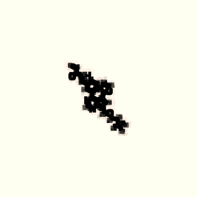 C=CC(=O)NCc1cccc(-c2ncnc3c2c(-c2ncco2)cn3COCC[Si](C)(C)C)c1